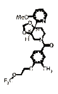 COc1cccnc1[C@@]12CCN(C(=O)c3ccc(OCCOC(F)(F)F)c(C)c3)C[C@H]1OCO2